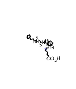 O=C(O)CCC/C=C\C[C@@H]1[C@H](CNC(=S)CNC(=S)CCCc2ccccc2)[C@@H]2CC[C@H]1O2